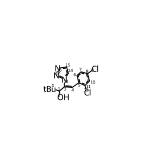 CC(C)(C)C(O)C(=Cc1ccc(Cl)cc1Cl)n1ccnn1